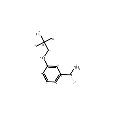 C[C@@H](N)c1cccc(OCC(C)(C)O)c1